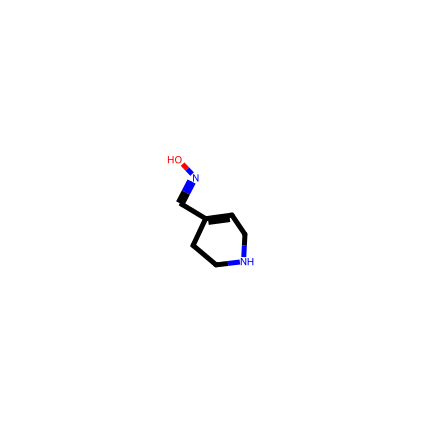 ON=CC1=CCNCC1